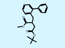 COC(=O)C(CC(=O)OC(C)(C)C)Cc1ccccc1-c1ccccc1